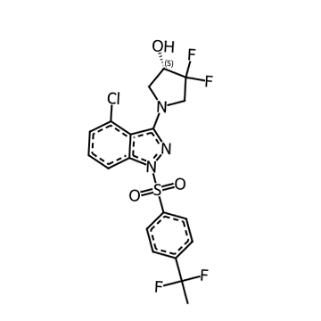 CC(F)(F)c1ccc(S(=O)(=O)n2nc(N3C[C@H](O)C(F)(F)C3)c3c(Cl)cccc32)cc1